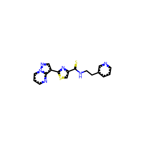 S=C(NCCc1cccnc1)c1csc(-c2cnn3cccnc23)n1